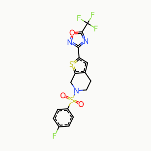 O=S(=O)(c1ccc(F)cc1)N1CCc2cc(-c3noc(C(F)(F)F)n3)sc2C1